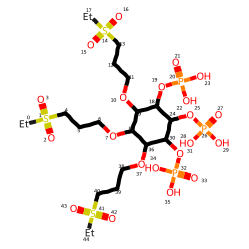 CCS(=O)(=O)CCCOC1C(OCCCS(=O)(=O)CC)C(OP(=O)(O)O)C(OP(=O)(O)O)C(OP(=O)(O)O)C1OCCCS(=O)(=O)CC